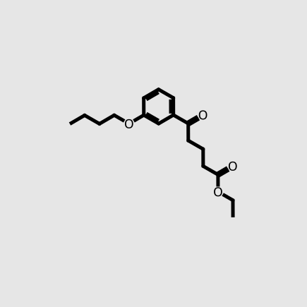 CCCCOc1cccc(C(=O)CCCC(=O)OCC)c1